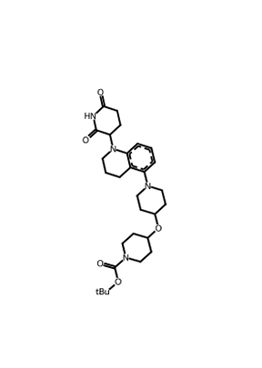 CC(C)(C)OC(=O)N1CCC(OC2CCN(c3cccc4c3CCCN4C3CCC(=O)NC3=O)CC2)CC1